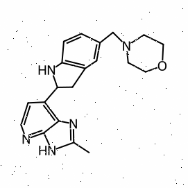 Cc1nc2c(C3Cc4cc(CN5CCOCC5)ccc4N3)ccnc2[nH]1